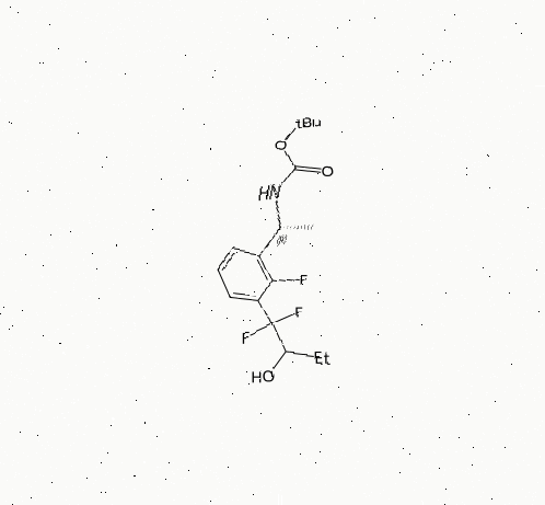 CCC(O)C(F)(F)c1cccc([C@@H](C)NC(=O)OC(C)(C)C)c1F